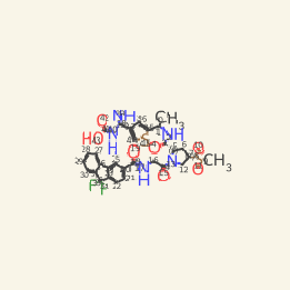 CC(NC(=O)[C@@H]1C[C@@H](S(C)(=O)=O)CN1C(=O)CNC(=O)c1ccc2c(c1)-c1ccccc1C2(F)F)c1cc(C(=N)NC(=O)O)cs1